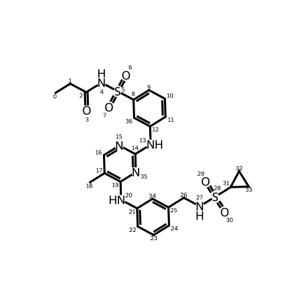 CCC(=O)NS(=O)(=O)c1cccc(Nc2ncc(C)c(Nc3cccc(CNS(=O)(=O)C4CC4)c3)n2)c1